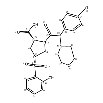 O=C(O)[C@@H]1C[C@@H](S(=O)(=O)c2ccccc2Cl)CN1C(=O)C(c1ccc(Cl)cc1)N1CCOCC1